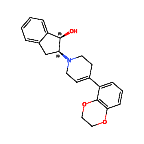 O[C@@H]1c2ccccc2C[C@@H]1N1CC=C(c2cccc3c2OCCO3)CC1